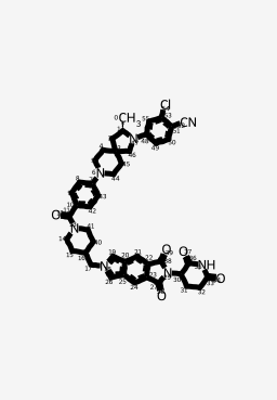 C[C@H]1CC2(CCN(c3ccc(C(=O)N4CCC(Cn5cc6cc7c(cc6c5)C(=O)N(C5CCC(=O)NC5=O)C7=O)CC4)cc3)CC2)CN1c1ccc(C#N)c(Cl)c1